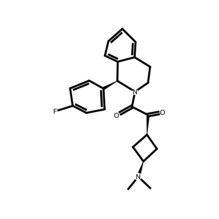 CN(C)[C@H]1C[C@@H](C(=O)C(=O)N2CCc3ccccc3[C@@H]2c2ccc(F)cc2)C1